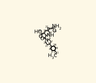 CCc1ccc(C2CCN(C(=O)C3NCC4(CC3C(=O)O)CC4C(N)=O)CC2)cc1